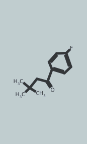 CC(C)(C)CC(=O)c1ccc(F)cc1